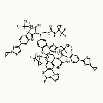 CC(C)(C)C[C@]1(c2ccc(-c3cnn(C4CC4)n3)cc2F)NC(=N)N([C@H](COC(=O)NC2(C(F)(F)F)CC2)c2ccc(Cl)c(-c3nc(CC(C)(C)C[C@]4(c5ccc(-c6ncn(C7CC7)n6)cc5F)NC(=N)N([C@H](COC(=O)NC5(C(F)(F)F)CC5)c5ccc(Cl)c(-c6ncnn6C(F)F)c5)C4=O)nn3C(F)F)c2)C1=O